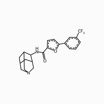 O=C(NC1C2CC3CC1CN(C3)C2)c1ccc(-c2cccc(C(F)(F)F)c2)o1